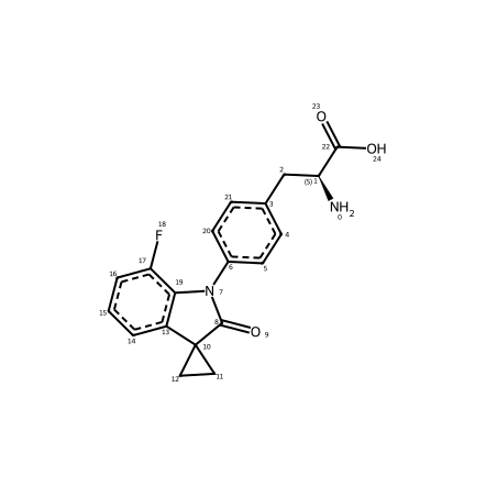 N[C@@H](Cc1ccc(N2C(=O)C3(CC3)c3cccc(F)c32)cc1)C(=O)O